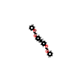 CC(C)(c1ccc(OCCOC2CCCCC2)cc1)c1ccc(OCCOC2CCCCC2)cc1